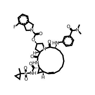 CN(C)C(=O)c1cccc(N[C@H]2CCCCC/C=C\[C@@H]3C[C@@]3(C(=O)NS(=O)(=O)C3(C)CC3)NC(=O)[C@@H]3C[C@@H](OC(=O)N4Cc5cccc(F)c5C4)CN3C2=O)c1